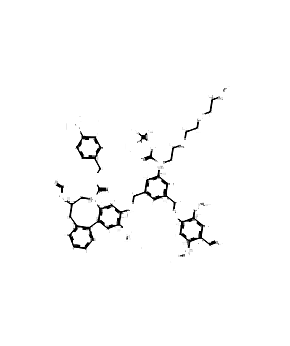 CNc1ccc(COC(=O)N2CC(NC=O)Cc3ccccc3-c3cc(OC)c(OCc4cc(COc5cc(NC)c(C=O)cc5OC)cc(N(CCOCCOCCOC)C(=O)OC(C)(C)C)c4)cc32)cc1